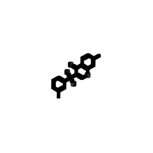 Cc1cccc(S(=O)(=O)c2coc3cc(C)ccc3c2=O)c1